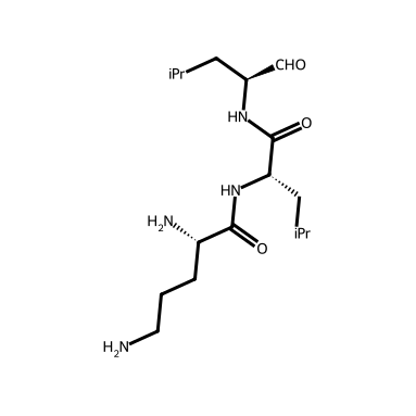 CC(C)C[C@@H](C=O)NC(=O)[C@H](CC(C)C)NC(=O)[C@@H](N)CCCN